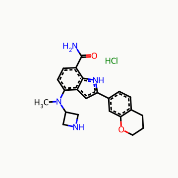 CN(c1ccc(C(N)=O)c2[nH]c(-c3ccc4c(c3)OCCC4)cc12)C1CNC1.Cl